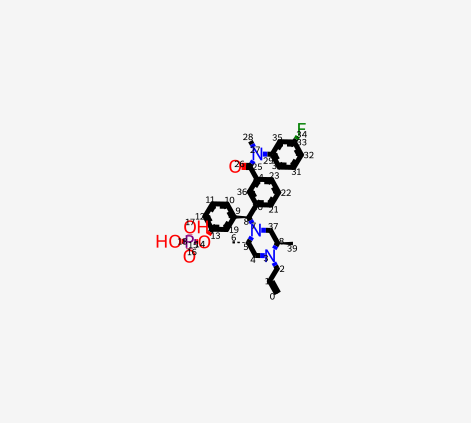 C=CCN1C[C@H](C)N([C@@H](c2cccc(OP(=O)(O)O)c2)c2cccc(C(=O)N(C)c3cccc(F)c3)c2)C[C@H]1C